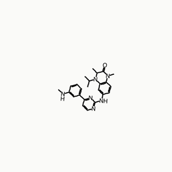 CNc1cccc(-c2ccnc(Nc3ccc4c(c3)N(C(C)C)C(C)C(=O)N4C)n2)c1